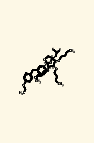 CCCCO[C@@H]1[C@@H](OCCCC)[C@@]2(c3ccc(Cl)c(Cc4ccc(OCC)cc4)c3)OC[C@](CC(F)F)(O2)[C@H]1OCCCC